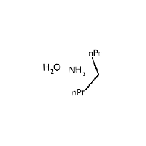 CCCCCCC.N.O